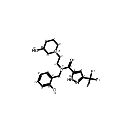 O=C(c1cc(C(F)(F)F)n[nH]1)N(CCN1CCCC(O)C1)Cc1ccccc1Cl